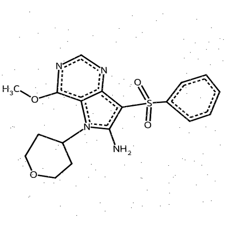 COc1ncnc2c(S(=O)(=O)c3ccccc3)c(N)n(C3CCOCC3)c12